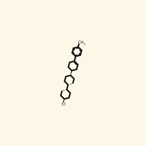 CC[C@H]1CC[C@H]([C@H]2CC[C@H](C3CC=C(c4ccc(C)cc4)CC3)CC2)CC1